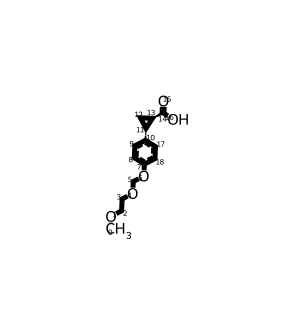 COCCOCOc1ccc([C@@H]2C[C@H]2C(=O)O)cc1